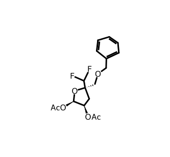 CC(=O)O[C@H]1O[C@@](COCc2ccccc2)(C(F)F)C[C@H]1OC(C)=O